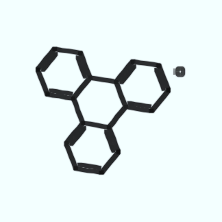 [O].c1ccc2c(c1)c1ccccc1c1ccccc21